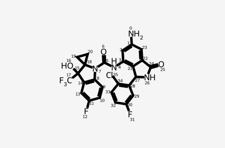 Nc1cc(NC(=O)N2c3ccc(F)cc3C(O)(C(F)(F)F)C23CC3)c2c(c1)C(=O)NC2c1cc(F)ccc1Cl